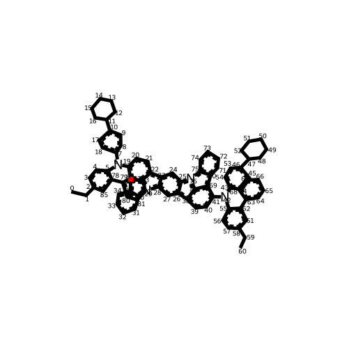 CCc1ccc(N(c2ccc(C3CCCCC3)cc2)c2ccc3c4cc5c(cc4n4c6ccccc6c2c34)c2ccc(N(c3ccc(C4CCCCC4)cc3)c3ccc(CC)cc3-c3ccccc3)c3c4ccccc4n5c23)c(-c2ccccc2)c1